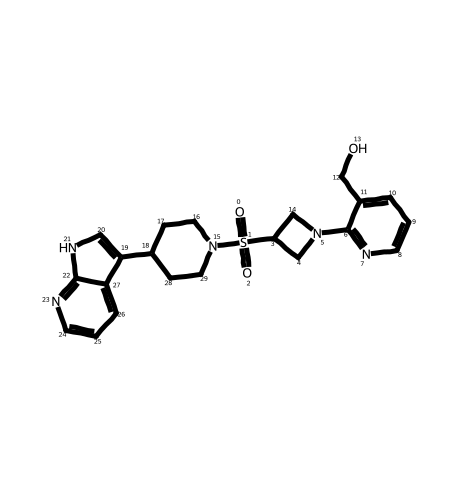 O=S(=O)(C1CN(c2ncccc2CO)C1)N1CCC(c2c[nH]c3ncccc23)CC1